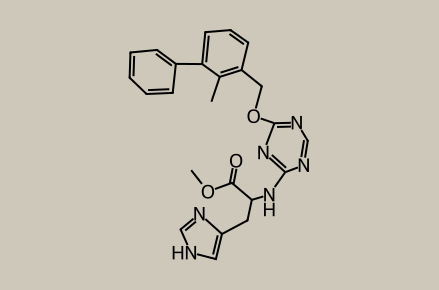 COC(=O)C(Cc1c[nH]cn1)Nc1ncnc(OCc2cccc(-c3ccccc3)c2C)n1